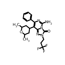 CC1CC(c2c(-c3ccccc3)nc(N)n3c(=O)n(CCC(F)(F)F)nc23)CC(C)O1